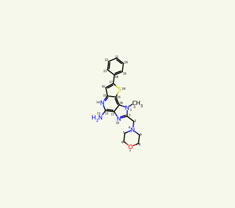 Cn1c(CN2CCOCC2)nc2c(N)nc3cc(-c4ccccc4)sc3c21